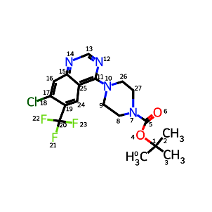 CC(C)(C)OC(=O)N1CCN(c2ncnc3cc(Cl)c(C(F)(F)F)cc23)CC1